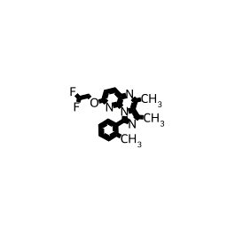 Cc1ccccc1-c1nc(C)c2c(C)nc3ccc(OCC(F)F)nc3n12